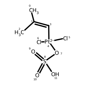 CC(C)=[CH][Pt-2]([Cl])([Cl])[O]S(=O)(=O)O